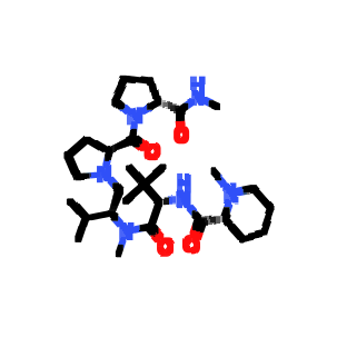 CNC(=O)[C@H]1CCCN1C(=O)[C@@H]1CCCN1C[C@H](C(C)C)N(C)C(=O)[C@@H](NC(=O)[C@H]1CCCCN1C)C(C)(C)C